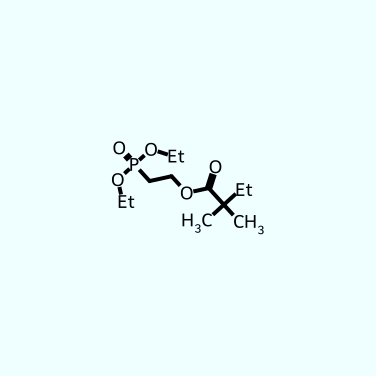 CCOP(=O)(CCOC(=O)C(C)(C)CC)OCC